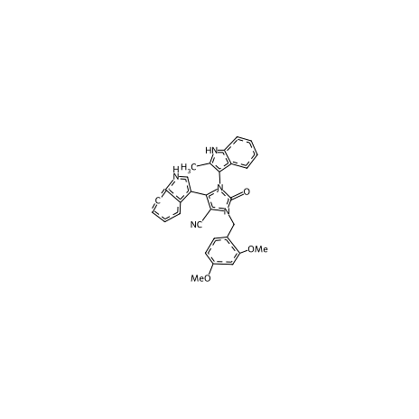 COc1ccc(Cn2c(C#N)c(-c3c[nH]c4ccccc34)n(-c3c(C)[nH]c4ccccc34)c2=O)c(OC)c1